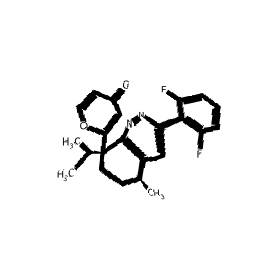 CC(C)[C@]1(c2cc(=O)cco2)CC[C@H](C)c2cc(-c3c(F)cccc3F)nnc21